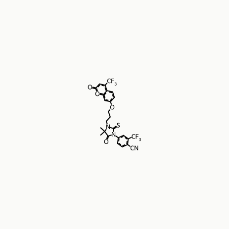 CC1(C)C(=O)N(c2ccc(C#N)c(C(F)(F)F)c2)C(=S)N1CCCOc1ccc2c(C(F)(F)F)cc(=O)oc2c1